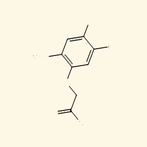 COc1cc(C=O)c(Br)cc1OCC(N)=O